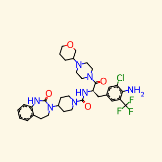 Nc1c(Cl)cc(C[C@@H](NC(=O)N2CCC(N3CCc4ccccc4NC3=O)CC2)C(=O)N2CCN(C3CCCOC3)CC2)cc1C(F)(F)F